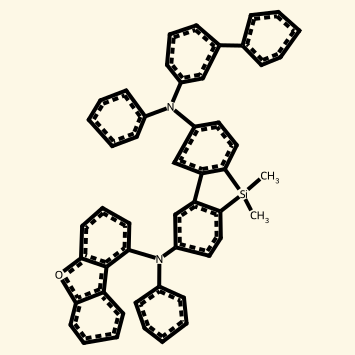 C[Si]1(C)c2ccc(N(c3ccccc3)c3cccc(-c4ccccc4)c3)cc2-c2cc(N(c3ccccc3)c3cccc4oc5ccccc5c34)ccc21